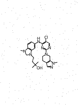 CN1CN(CCC(C)(C)O)c2cc(Nc3nc(N4CCc5cnn(C)c5C4)ncc3Cl)ccc21